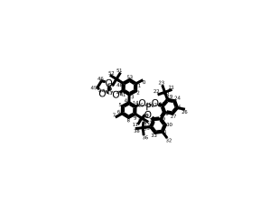 Cc1cc(-c2cc(C)cc(C(C)(C)C)c2Op2oc3c(C(C)(C)C)cc(C)cc3c3cc(C)cc(C(C)(C)C)c3o2)c(OP2OCCO2)c(C(C)(C)C)c1